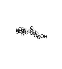 O=C(c1ccc(Oc2nccn3c(-c4conc4C(F)(F)F)cnc23)cc1O)C1CCC(OC(=O)[C@@H]2C[C@@H](O)CO2)CC1